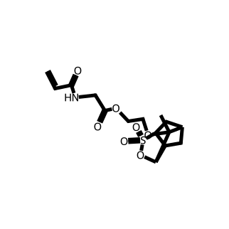 C=CC(=O)NCC(=O)OCCOC1(C)C2CC3C1OS(=O)(=O)C3C2